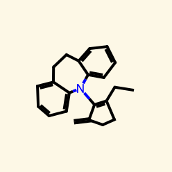 C=C1CCC(CC)=C1N1c2ccccc2CCc2ccccc21